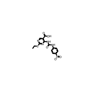 CCSc1ncc(C(=O)O)c(NC(=O)Nc2ccc([N+](=O)[O-])cc2)n1